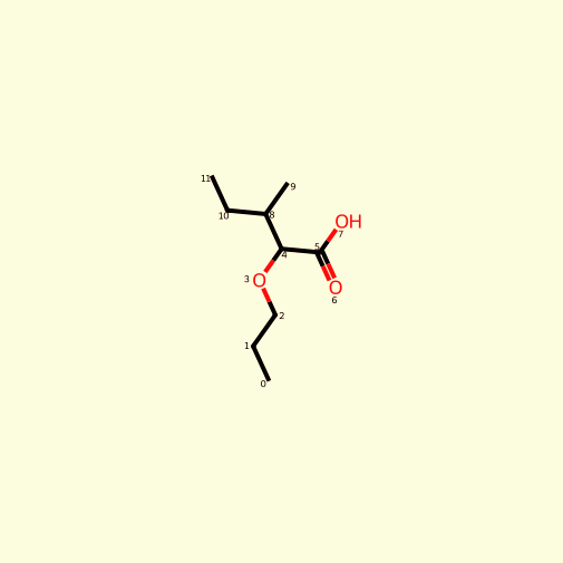 CCCOC(C(=O)O)C(C)CC